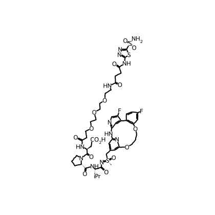 CC(C)[C@H](NC(=O)[C@@H]1CCCN1C(=O)[C@H](CC(=O)O)NC(=O)CCOCCOCCOCCNC(=O)CCC(=O)Nc1nnc(S(N)(=O)=O)s1)C(=O)N=[S@](C)(=O)Cc1cc2nc(c1)OCCCOc1cc(F)ccc1-c1cc(ncc1F)N2